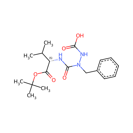 CC(C)[C@H](NC(=O)N(Cc1ccccc1)NC(=O)O)C(=O)OC(C)(C)C